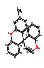 Cc1ccc2c(c1)Oc1ccccc1C21c2ccccc2Oc2ccccc21